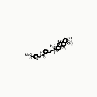 CCCC1(C(=O)NCCc2cccc(C(=O)NCc3ccc(C(=O)OC)cn3)c2)CC[C@]2(C)C(CCC3C4(C)CCC(O)C(C)(C)C4CCC32C)C1C